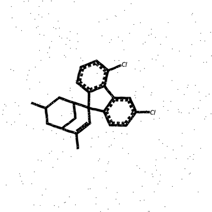 CC1=CC2(c3ccc(Cl)cc3-c3c(Cl)cccc32)C2CC(C)CC1C2